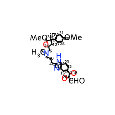 COC(=O)C(CCCN(C)CCCc1nc2cc(C(=O)C(=O)C=O)ccc2[nH]1)(c1ccc(OC)cc1)C(C)C